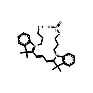 CC1(C)C(/C=C/C=C2\N(CCCO[PH](=O)O)c3ccccc3C2(C)C)=[N+](CCCO)c2ccccc21